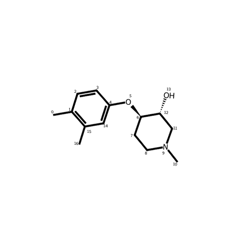 Cc1ccc(O[C@@H]2CCN(C)C[C@H]2O)cc1C